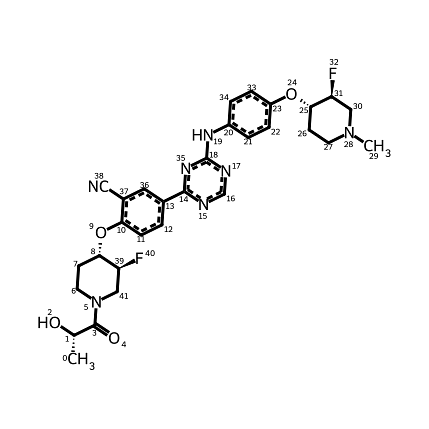 C[C@H](O)C(=O)N1CC[C@H](Oc2ccc(-c3ncnc(Nc4ccc(O[C@H]5CCN(C)C[C@@H]5F)cc4)n3)cc2C#N)[C@@H](F)C1